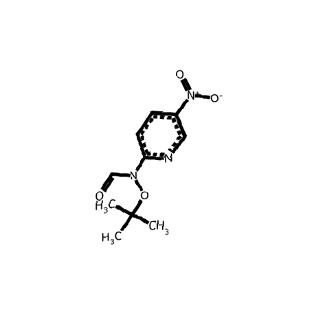 CC(C)(C)ON(C=O)c1ccc([N+](=O)[O-])cn1